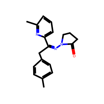 Cc1ccc(CC(=NN2CCCC2=O)c2cccc(C)n2)cc1